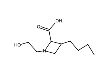 CCCCC1CN(CCO)C1C(=O)O